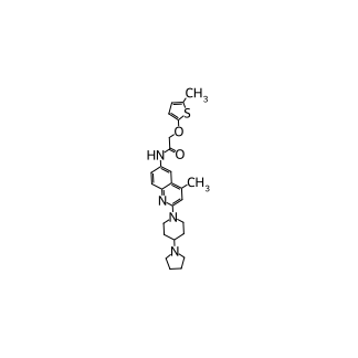 Cc1ccc(OCC(=O)Nc2ccc3nc(N4CCC(N5CCCC5)CC4)cc(C)c3c2)s1